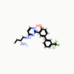 CC[C@@H](N)CNc1ccnc(-c2cc(-c3cccc(C(F)(F)F)c3)ccc2O)n1